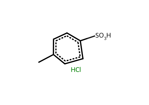 Cc1ccc(S(=O)(=O)O)cc1.Cl